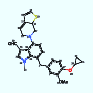 COc1cc(Cc2ccc(N3CC=C4C=CSC4C3)c3c(C=O)cn(C)c23)ccc1OC1CC1